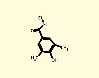 CCNC(=O)c1cc(C)c(O)c(C)c1